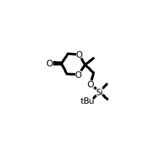 CC1(CO[Si](C)(C)C(C)(C)C)OCC(=O)CO1